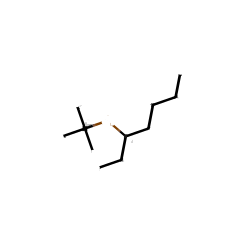 CCCCC(CC)SC(C)(C)C